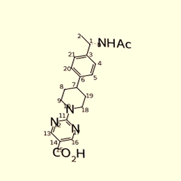 CC(=O)N[C@@H](C)c1ccc(C2CCN(c3ncc(C(=O)O)cn3)CC2)cc1